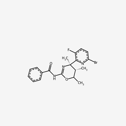 CC1OC(NC(=O)c2ccccc2)=N[C@@](C)(c2nc(Br)ccc2F)[C@@H]1C